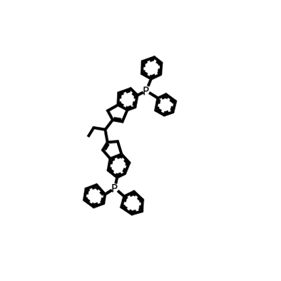 CCC(C1=Cc2cc(P(c3ccccc3)c3ccccc3)ccc2C1)C1=Cc2cc(P(c3ccccc3)c3ccccc3)ccc2C1